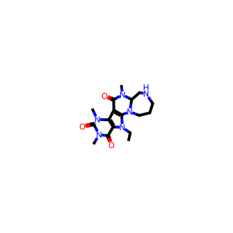 CCn1c2c(c3c1c(=O)n(C)c(=O)n3C)C(=O)N(C)C1CNCCCN21